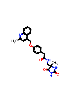 Cc1cc(COc2ccc(CC(=O)NCC3(C)NC(=O)NC3=O)cc2)c2ccccc2n1